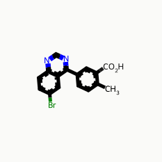 Cc1ccc(-c2ncnc3ccc(Br)cc23)cc1C(=O)O